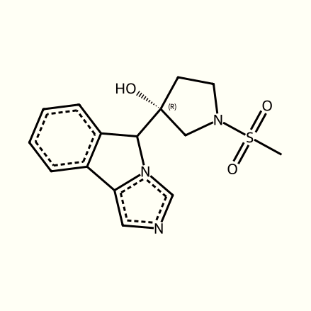 CS(=O)(=O)N1CC[C@](O)(C2c3ccccc3-c3cncn32)C1